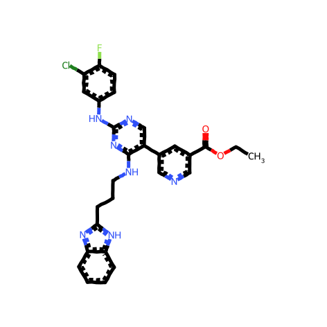 CCOC(=O)c1cncc(-c2cnc(Nc3ccc(F)c(Cl)c3)nc2NCCCc2nc3ccccc3[nH]2)c1